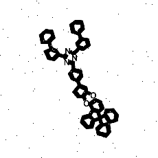 c1ccc(-c2cccc(-c3nc(-c4ccc(-c5ccc6c(c5)Oc5ccc7c(c5O6)-c5ccccc5C7(c5ccccc5)c5ccccc5)cc4)nc(-c4cccc(-c5ccccc5)c4)n3)c2)cc1